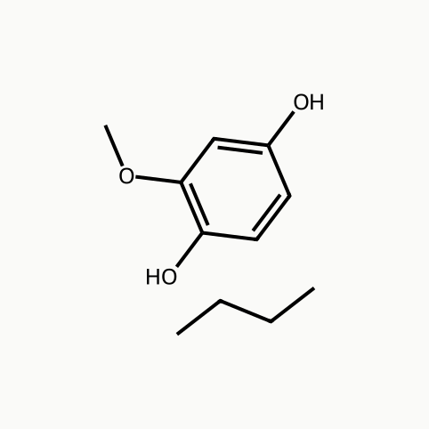 CCCC.COc1cc(O)ccc1O